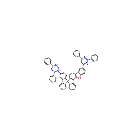 c1ccc(-c2cc(-c3ccc4oc5c6c(ccc5c4c3)C3(c4ccccc4-c4cc(-[n+]5cnc(-c7ccccc7)nc5-c5ccccc5)ccc43)c3ccccc3-6)nc(-c3ccccc3)n2)cc1